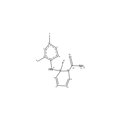 Cc1cc(I)ccc1NC1(F)C=CC=CC1C(N)=O